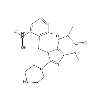 Cn1c(=O)c2c(nc(N3CCNCC3)n2Cc2c(F)cccc2[NH+]([O-])O)n(C)c1=O